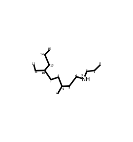 CCCNCCC(C)CCC(CC)CCC